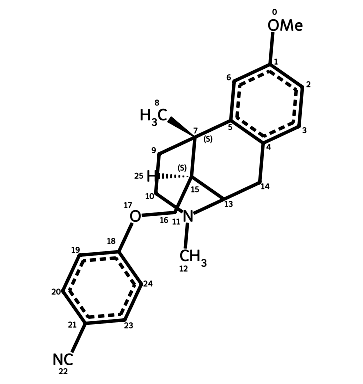 COc1ccc2c(c1)[C@@]1(C)CCN(C)C(C2)[C@H]1COc1ccc(C#N)cc1